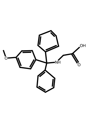 COc1ccc(C(NCC(=O)O)(c2ccccc2)c2ccccc2)cc1